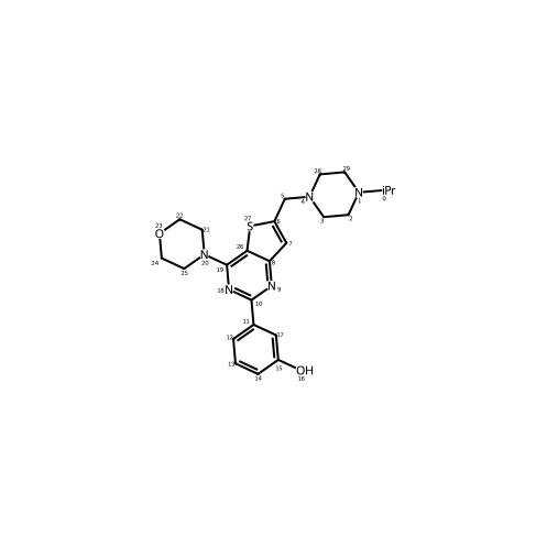 CC(C)N1CCN(Cc2cc3nc(-c4cccc(O)c4)nc(N4CCOCC4)c3s2)CC1